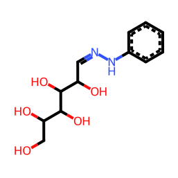 OCC(O)C(O)C(O)C(O)/C=N\Nc1ccccc1